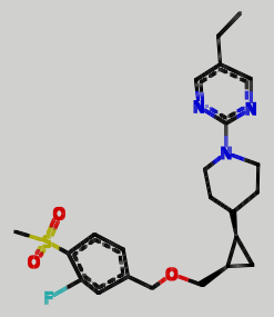 CCc1cnc(N2CCC([C@H]3C[C@H]3COCc3ccc(S(C)(=O)=O)c(F)c3)CC2)nc1